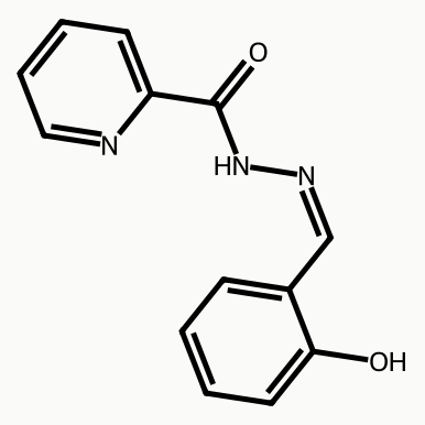 O=C(N/N=C\c1ccccc1O)c1ccccn1